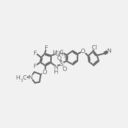 Cc1cc(Oc2cccc(C#N)c2Cl)ccc1S(=O)(=O)Nc1c(C)c(F)c(F)c(F)c1O[C@@H]1CCN(C)C1